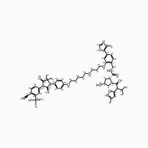 Cc1cc(C(C(=O)N2C[C@@H](O)C[C@@H]2C(=O)NCc2ccc(-c3scnc3C)cc2OCCCOCCCCCOc2ccc(N3C(=S)N(c4ccc(C#N)c(C(F)(F)F)c4)C(=O)C3(C)C)cc2)C(C)C)on1